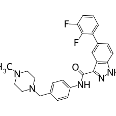 CN1CCN(Cc2ccc(NC(=O)c3n[nH]c4ccc(-c5cccc(F)c5F)cc34)cc2)CC1